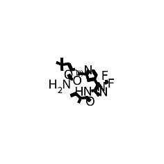 C=CC(C)C(=O)Nc1cnn(C(F)F)c1-c1ccnc([C@@H](CC=CC(C)(C)C)OC(N)=O)c1